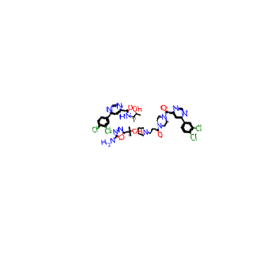 CC(C)(O)c1nnc(N)o1.CC(O)[C@@H](C)NC(=O)c1cc(-c2ccc(Cl)c(Cl)c2)ncn1.O=C(CCN1CCCC1)N1CCN(C(=O)c2cc(-c3ccc(Cl)c(Cl)c3)ncn2)CC1